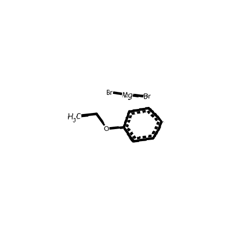 CCOc1cc[c]cc1.[Br][Mg][Br]